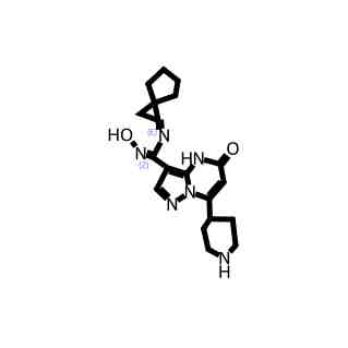 O=c1cc(C2CCNCC2)n2ncc(C(=N/O)/N=C3\CC34CCCC4)c2[nH]1